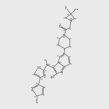 CCc1nc2ccc(C3CCN(C(=O)CN4CC(F)(F)C4)CC3)cn2c1N(C)c1nc(C2=CCC(F)C=C2)cs1